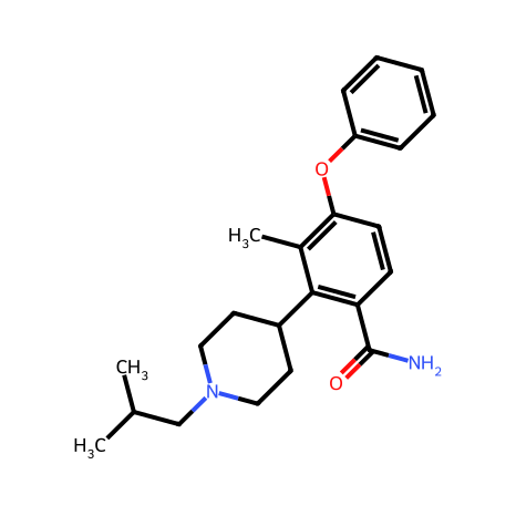 Cc1c(Oc2ccccc2)ccc(C(N)=O)c1C1CCN(CC(C)C)CC1